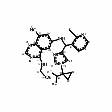 Cc1ncccc1C(Nc1cc(C#N)c2ncnc(NCC(C)(C)C)c2c1)c1cn(C2(C(F)F)CC2)nn1